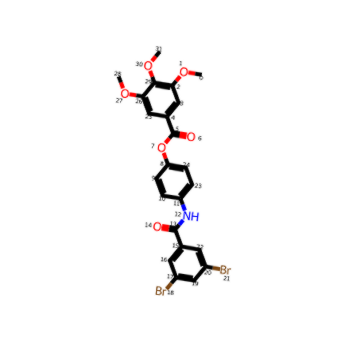 COc1cc(C(=O)Oc2ccc(NC(=O)c3cc(Br)cc(Br)c3)cc2)cc(OC)c1OC